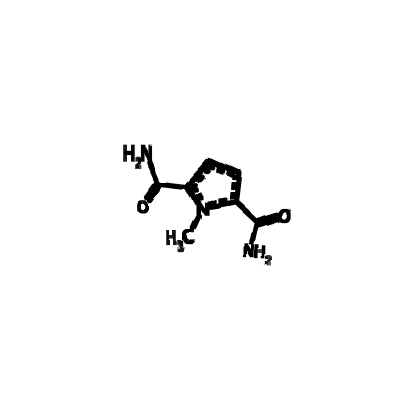 Cn1c(C(N)=O)ccc1C(N)=O